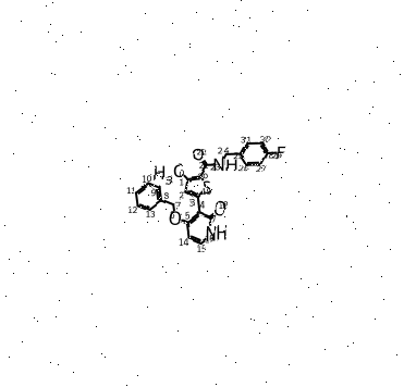 Cc1cc(-c2c(OCc3ccccc3)cc[nH]c2=O)sc1C(=O)NCc1ccc(F)cc1